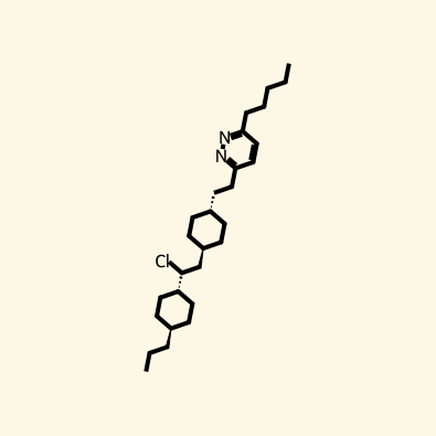 CCCCCc1ccc(CC[C@H]2CC[C@H](CC(Cl)[C@H]3CC[C@H](CCC)CC3)CC2)nn1